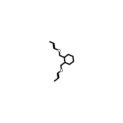 CC=COCC1CCCCC1COC=CC